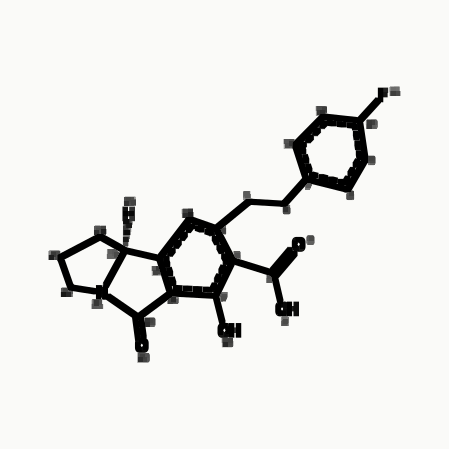 O=C(O)c1c(CCc2ccc(F)cc2)cc2c(c1O)C(=O)N1CCC[C@@H]21